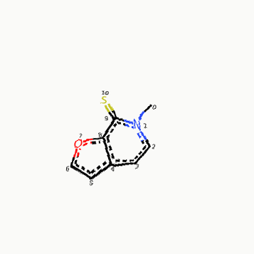 Cn1ccc2ccoc2c1=S